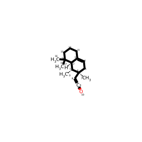 C[C@@H]1[C@@H]2C(=CC[C@@]1(C)C=C=O)CCCC2(C)C